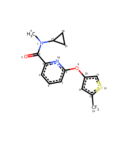 CN(C(=O)c1cccc(Oc2csc(C(F)(F)F)c2)n1)C1CC1